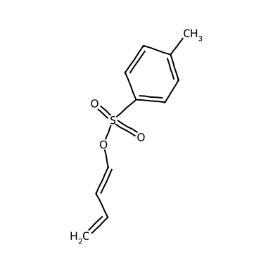 C=C/C=C/OS(=O)(=O)c1ccc(C)cc1